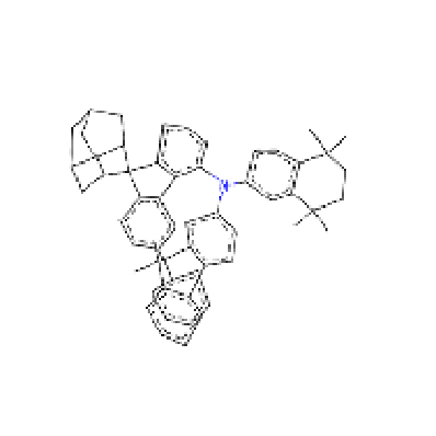 CC1(C)CCC(C)(C)c2cc(N(c3ccc4c(c3)C(C)(C)c3ccccc3-4)c3cccc4c3-c3cc(-c5ccccc5)ccc3C43C4CC5CC6CC3C64C5)ccc21